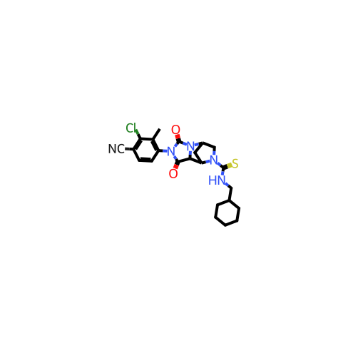 Cc1c(N2C(=O)C3C4CC(CN4C(=S)NCC4CCCCC4)N3C2=O)ccc(C#N)c1Cl